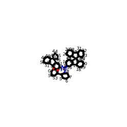 c1ccc(-c2ccccc2N(c2ccc3c(c2)-c2ccccc2C32c3ccccc3-c3ccccc32)c2ccc3c(c2)C2(CCCC2)c2ccccc2-3)cc1